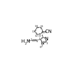 Cn1cncc1C#CN.N#Cc1ccccc1